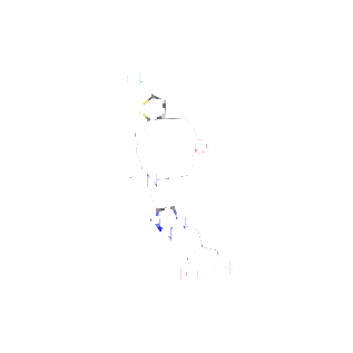 C[C@H]1CCc2sc(Cl)cc2CCOCCCN1Cc1cn(CC(CO)CO)nn1